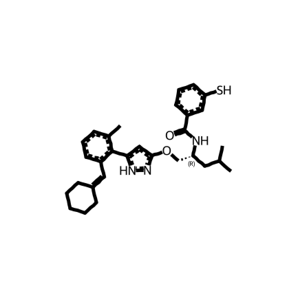 Cc1cccc(C=C2CCCCC2)c1-c1cc(OC[C@@H](CC(C)C)NC(=O)c2cccc(S)c2)n[nH]1